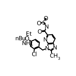 CCCCN.CCOc1ccc(Cn2c(C)nc3ccc(C(=O)N=S(=O)=O)nc32)c(Cl)c1